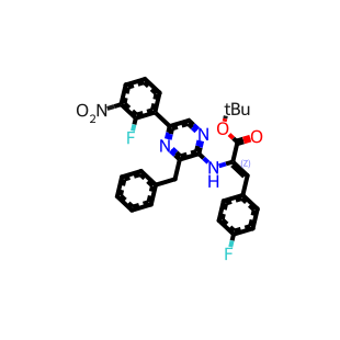 CC(C)(C)OC(=O)/C(=C/c1ccc(F)cc1)Nc1ncc(-c2cccc([N+](=O)[O-])c2F)nc1Cc1ccccc1